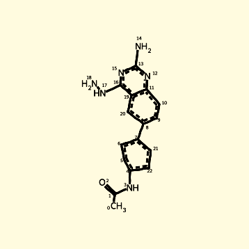 CC(=O)Nc1ccc(-c2ccc3nc(N)nc(NN)c3c2)cc1